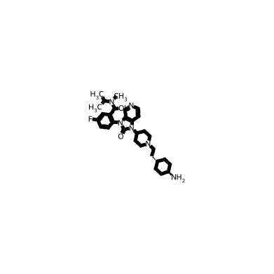 CC(C)N(C)C(O)c1cc(F)ccc1-n1c(=O)n(C2CCN(CC[C@H]3CC[C@H](N)CC3)CC2)c2ccncc21